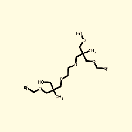 CC(CO)(CO[CH2][Rf])COCCOCC(C)(COO)CO[CH2][Rf]